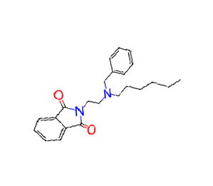 CCCCCCN(CCN1C(=O)c2ccccc2C1=O)Cc1ccccc1